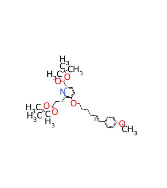 COc1ccc(/C=C/CCCCOc2ccc(C(=O)OC(C)(C)C)nc2CCC(=O)OC(C)(C)C)cc1